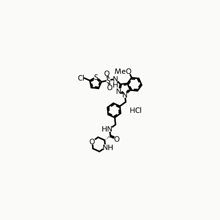 COc1cccc2c1c(NS(=O)(=O)c1ccc(Cl)s1)nn2Cc1cccc(CNC(=O)[C@H]2COCCN2)c1.Cl